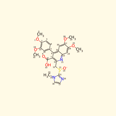 COc1ccc(-c2c(C(=O)O)c(C[S+]([O-])c3nccn3C)nc3cc(OC)c(OC)cc23)cc1OC